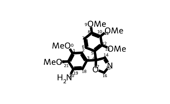 COc1cc(C2(c3ccc(OC)c(OC)c3OC)C=NCO2)cc(N)c1OC